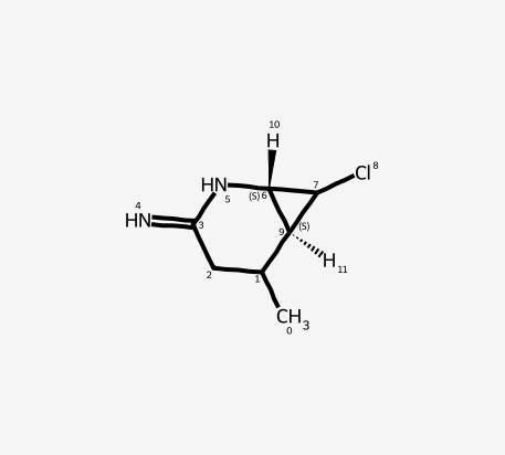 CC1CC(=N)N[C@@H]2C(Cl)[C@@H]12